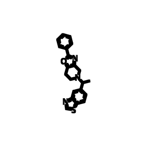 CC(c1ccc2scnc2c1)N1CCc2oc(-c3ccccc3)nc2C1